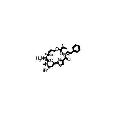 C=CCOC(=O)[C@@H](C)C[C@H](Cc1ccccc1)NC(=O)c1csc([C@@H](C[C@H](C(C)C)N(C)C[C@@H](N)[C@@H](C)CC)OC(C)=O)n1